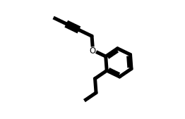 CC#CCOc1ccccc1CCC